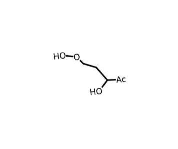 CC(=O)C(O)CCOO